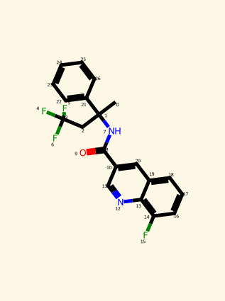 CC(CC(F)(F)F)(NC(=O)c1cnc2c(F)cccc2c1)c1ccccc1